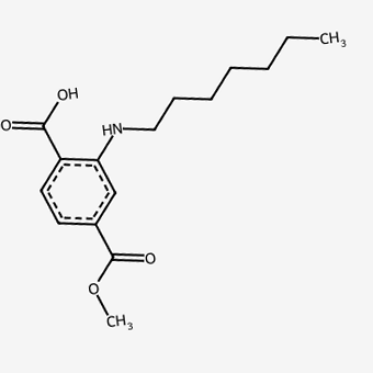 CCCCCCCNc1cc(C(=O)OC)ccc1C(=O)O